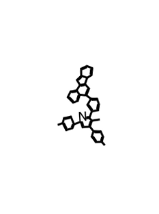 Cc1ccc(-c2cc(-c3ccc(C)cc3)c(C)c(-c3cccc(-c4cc5c(c6ccccc46)C=C4C=CC=CC45)c3)n2)cc1